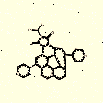 CCC(CC)n1c(=O)c2c3cc(-c4ccncc4)c4ccc5ccc6c(-c7ccncc7)cc(c2c1=O)c1c6c5c4c31